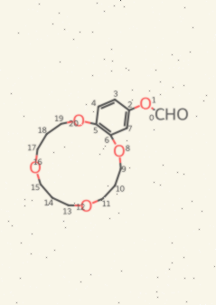 O=COc1ccc2c(c1)OCCCOCCCOCCCO2